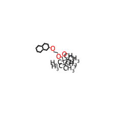 CC(C)(C)C(C)(C(=O)OCCOc1ccc2ccccc2c1)C(C)(C)C